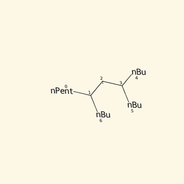 CCCCCC([CH]C(CCCC)CCCC)CCCC